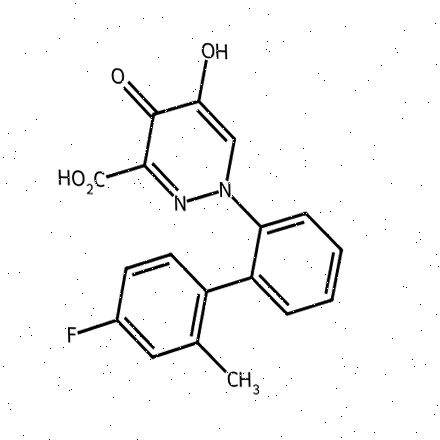 Cc1cc(F)ccc1-c1ccccc1-n1cc(O)c(=O)c(C(=O)O)n1